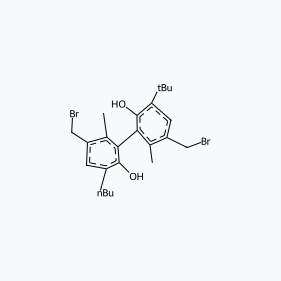 CCCCc1cc(CBr)c(C)c(-c2c(C)c(CBr)cc(C(C)(C)C)c2O)c1O